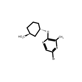 Cc1nc(Br)cnc1O[C@H]1CCC[C@H](C(=O)O)C1